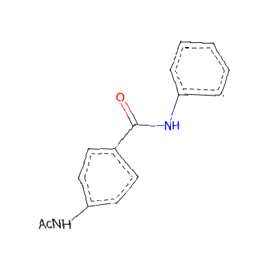 CC(=O)Nc1ccc(C(=O)Nc2[c]cccc2)cc1